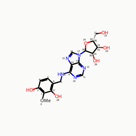 COc1c(O)ccc(CNc2ncnc3c2ncn3C2O[C@H](CO)[C@@H](O)[C@H]2O)c1O